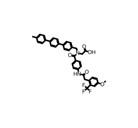 COc1ccc(CC(=O)Nc2ccc(C(=O)N(CC(=O)O)Cc3ccc(-c4ccc(-c5ccc(C)cc5)cc4)cc3)cc2)c(C(F)(F)F)c1